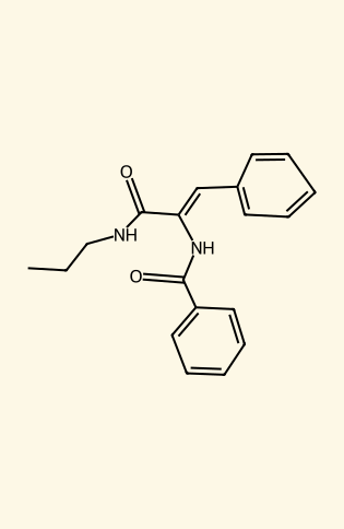 CCCNC(=O)/C(=C/c1ccccc1)NC(=O)c1ccccc1